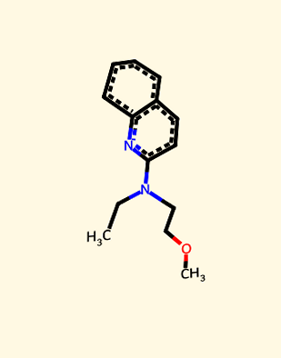 CCN(CCOC)c1ccc2ccccc2n1